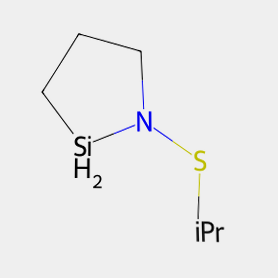 CC(C)SN1CCC[SiH2]1